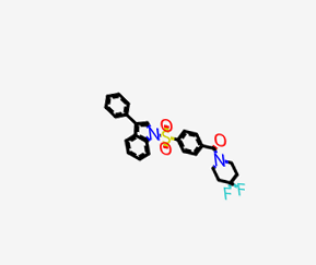 O=C(c1ccc(S(=O)(=O)n2cc(-c3ccccc3)c3ccccc32)cc1)N1CCC(F)(F)CC1